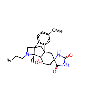 COc1ccc2c(c1)[C@]13CC24CN(CCC(C)C)[C@H]4[C@]1(O)CC[C@@]1(C3)NC(=O)NC1=O